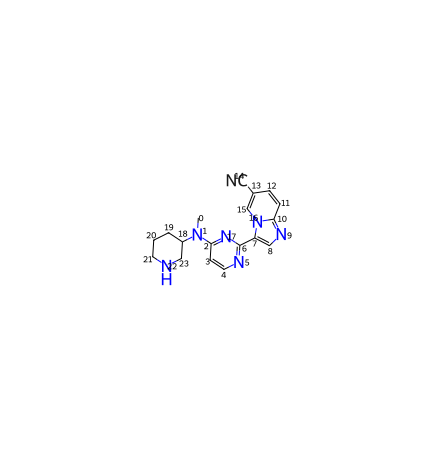 CN(c1ccnc(-c2cnc3ccc(C#N)cn23)n1)C1CCCNC1